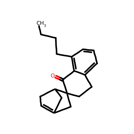 CCCCc1cccc2c1C(=O)C1(CC2)CC2=CCC1C2